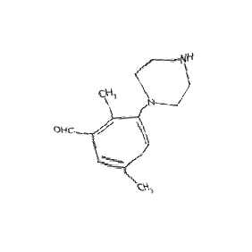 Cc1cc(C=O)c(C)c(N2CCNCC2)c1